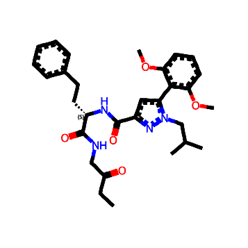 CCC(=O)CNC(=O)[C@H](CCc1ccccc1)NC(=O)c1cc(-c2c(OC)cccc2OC)n(CC(C)C)n1